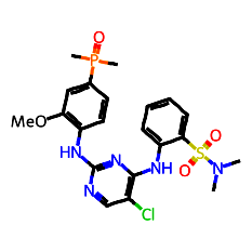 COc1cc(P(C)(C)=O)ccc1Nc1ncc(Cl)c(Nc2ccccc2S(=O)(=O)N(C)C)n1